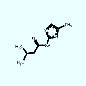 Cc1csc(NC(=O)CC(C)C)n1